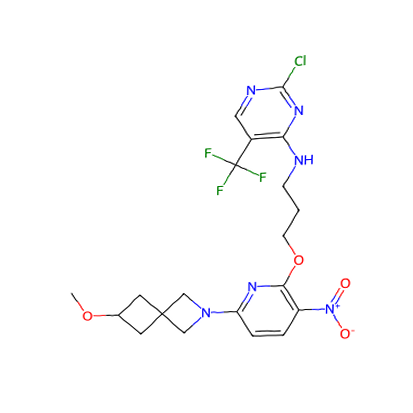 COC1CC2(C1)CN(c1ccc([N+](=O)[O-])c(OCCCNc3nc(Cl)ncc3C(F)(F)F)n1)C2